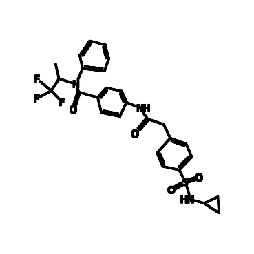 CC(N(C(=O)c1ccc(NC(=O)Cc2ccc(S(=O)(=O)NC3CC3)cc2)cc1)c1ccccc1)C(F)(F)F